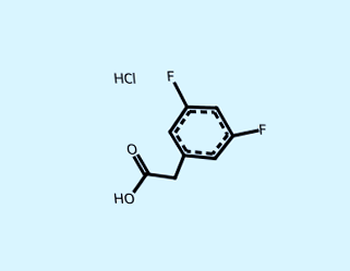 Cl.O=C(O)Cc1cc(F)cc(F)c1